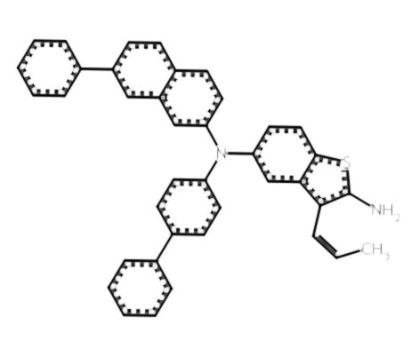 C/C=C\c1c(N)sc2ccc(N(c3ccc(-c4ccccc4)cc3)c3ccc4ccc(-c5ccccc5)cc4c3)cc12